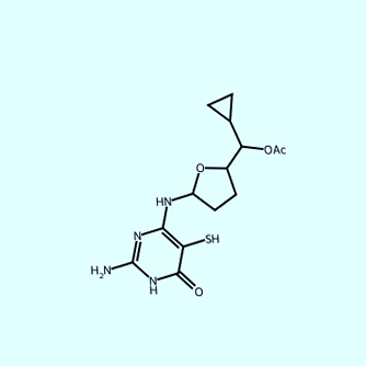 CC(=O)OC(C1CC1)C1CCC(Nc2nc(N)[nH]c(=O)c2S)O1